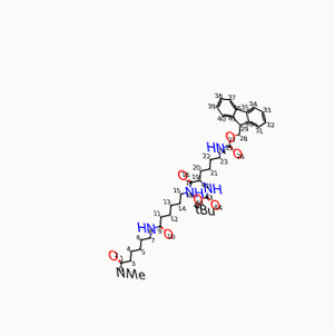 CNC(=O)CCCCCNC(=O)CCCCCNC(=O)C(CCCCNC(=O)OCC1c2ccccc2-c2ccccc21)NC(=O)OC(C)(C)C